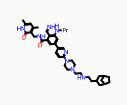 Cc1cc(C)c(CNC(=O)c2cc(-c3ccc(N4CCN(CCNCCC5CC6CCC(C5)C6)CC4)nc3)cc(NC(C)C)c2C=N)c(=O)[nH]1